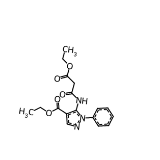 CCOC(=O)CC(=O)Nc1c(C(=O)OCC)cnn1-c1ccccc1